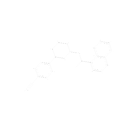 CC(NC1CCCC(c2ccc(C#N)cc2)C1)c1cccc2ccccc12